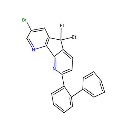 CCC1(CC)c2cc(Br)cnc2-c2nc(-c3ccccc3-c3ccccc3)ccc21